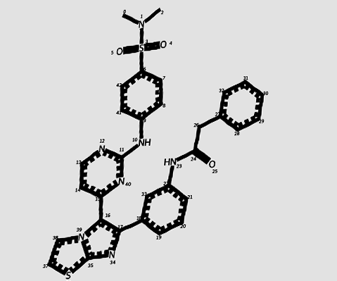 CN(C)S(=O)(=O)c1ccc(Nc2nccc(-c3c(-c4cccc(NC(=O)Cc5ccccc5)c4)nc4sccn34)n2)cc1